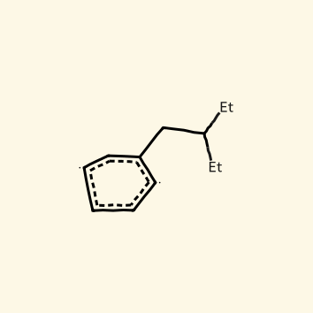 CCC(CC)Cc1[c]cc[c]c1